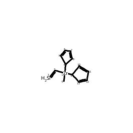 [CH3][Zr]([CH]=[SiH2])([CH]1C=CC=C1)[CH]1C=CC=C1